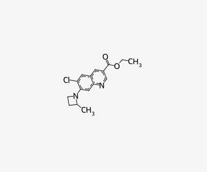 CCOC(=O)c1cnc2cc(N3CCC3C)c(Cl)cc2c1